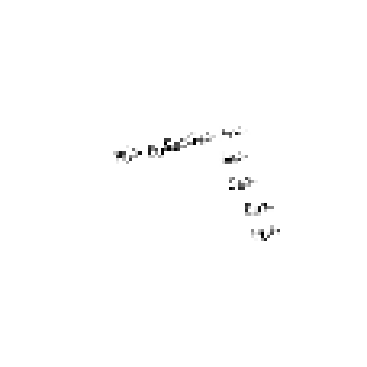 [Eu+3].[Eu+3].[Pb+2].[Pb+2].[Se-2].[Se-2].[Se-2].[Se-2].[Se-2]